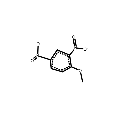 [C]Oc1ccc([N+](=O)[O-])cc1[N+](=O)[O-]